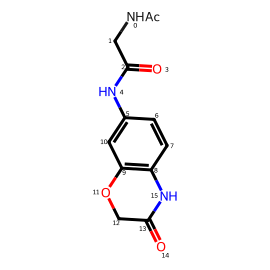 CC(=O)NCC(=O)Nc1ccc2c(c1)OCC(=O)N2